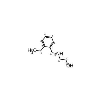 CCc1ccccc1CNCCO